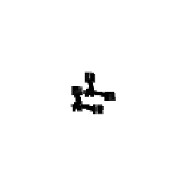 C[CH2][Al][CH2]C.C[CH2][Al][CH2]C